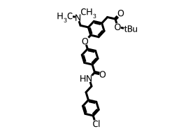 CN(C)Cc1cc(CC(=O)OC(C)(C)C)ccc1Oc1ccc(C(=O)NCCc2ccc(Cl)cc2)cc1